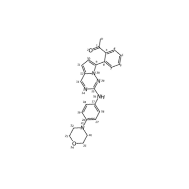 CC(=O)c1ccccc1-c1ccc2cnc(Nc3ccc(N4CCOCC4)cc3)nn12